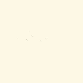 O=C(Nc1ccn(-c2cc(F)cc(F)c2)n1)C1(c2ncccn2)CC1